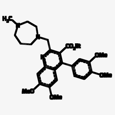 CCOC(=O)c1c(CN2CCCN(C)CC2)nc2cc(OC)c(OC)cc2c1-c1ccc(OC)c(OC)c1